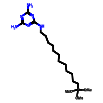 CO[Si](CCCCCCCCCCCCNc1nc(N)nc(N)n1)(OC)OC